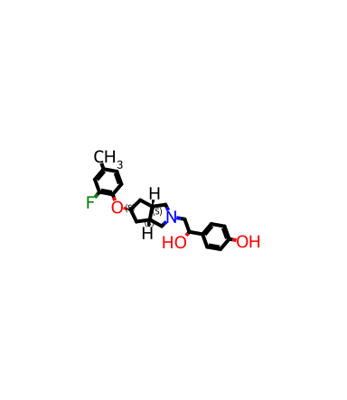 Cc1ccc(O[C@H]2C[C@@H]3CN(CC(O)c4ccc(O)cc4)C[C@@H]3C2)c(F)c1